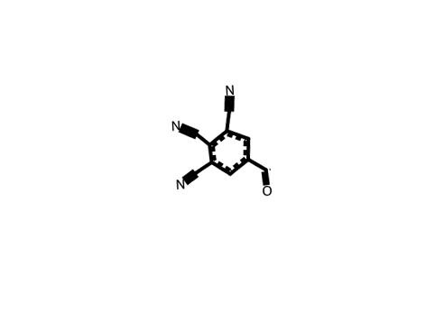 N#Cc1cc([C]=O)cc(C#N)c1C#N